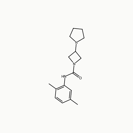 Cc1ccc(C)c(NC(=O)N2CC(N3CCCC3)C2)c1